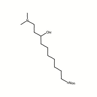 CCCCCCCCCCCCCCCCC(O)CCN(C)C